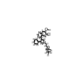 COc1cc2ncnc(-c3cn(CCO[Si](C)(C)C(C)(C)C)nc3-c3ccccc3)c2nc1Cl